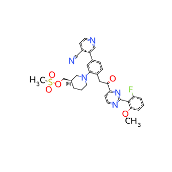 COc1cccc(F)c1-c1nccc(C(=O)Cc2ccc(-c3cnccc3C#N)cc2N2CCC[C@@H](COS(C)(=O)=O)C2)n1